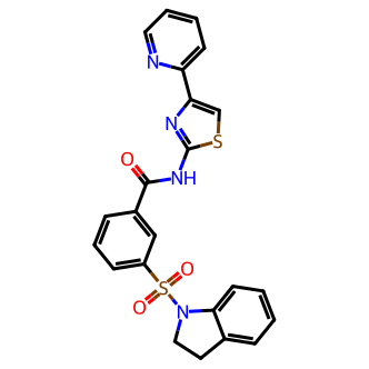 O=C(Nc1nc(-c2ccccn2)cs1)c1cccc(S(=O)(=O)N2CCc3ccccc32)c1